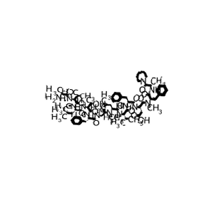 CC(C)C[C@@H](C(=O)N(C)[C@H](C(=O)N[C@@H](Cc1ccccc1)C(=O)N[C@@H](CC(=O)O)C(=O)N(C)C(Cc1ccccc1)C(=O)N[C@@H](C)C(=O)N1CCCCC1)C(C)C)N(C)C(=O)CNC(=O)[C@H](Cc1ccccc1)N(C)C(=O)[C@@H](NC(=O)[C@H](CC(C)C)N(C)C(=O)[C@@H](NC(=O)[C@H](C)N)C(C)C)[C@@H](C)O